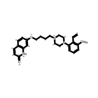 C=Cc1c(SC)cccc1N1CCN(CCCCOc2ccc3ccc(=O)[nH]c3c2)CC1